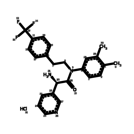 Cc1ccc(N(CCc2ccc(C(F)(F)F)cc2)C(=O)[C@H](N)c2cccnc2)cc1C.Cl